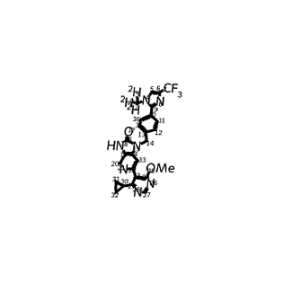 [2H]C([2H])([2H])n1cc(C(F)(F)F)nc1-c1ccc(Cn2c(=O)[nH]c3cnc(-c4c(OC)ncnc4C4CC4)cc32)cc1